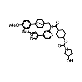 COc1ccc(C23CCC(CN(C(=O)C4CCC(OC(=O)N5CCC(O)C5)CC4)c4cc(-c5cnn(C(C)(C)C)c5)ccn4)(CC2)CC3)cc1C